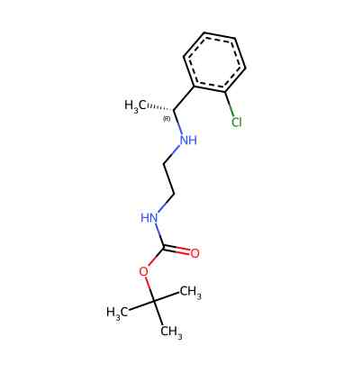 C[C@@H](NCCNC(=O)OC(C)(C)C)c1ccccc1Cl